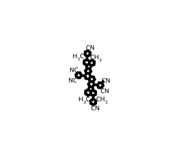 Cc1cc(C#N)cc(C)c1-c1ccc2c3c(cccc13)-c1cc3c(cc1-2)c(-c1cc(C#N)cc(C#N)c1)cc1c2cc4c(c(-c5cc(C#N)cc(C#N)c5)c2ccc31)-c1ccc(-c2c(C)cc(C#N)cc2C)c2cccc-4c12